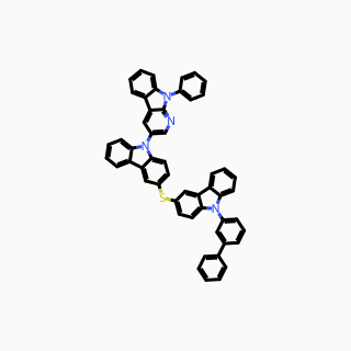 c1ccc(-c2cccc(-n3c4ccccc4c4cc(Sc5ccc6c(c5)c5ccccc5n6-c5cnc6c(c5)c5ccccc5n6-c5ccccc5)ccc43)c2)cc1